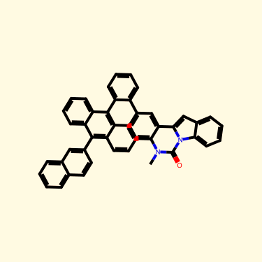 Cn1c(=O)n2c3ccccc3cc2c2cc(-c3ccccc3-c3c4ccccc4c(-c4ccc5ccccc5c4)c4ccccc34)ccc21